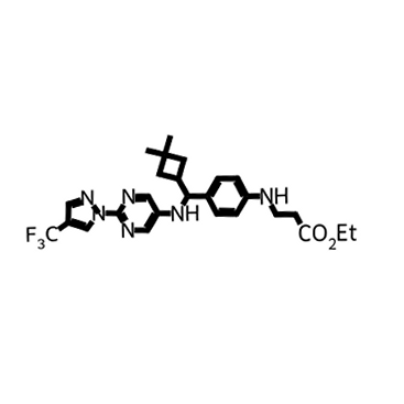 CCOC(=O)CCNc1ccc(C(Nc2cnc(-n3cc(C(F)(F)F)cn3)nc2)C2CC(C)(C)C2)cc1